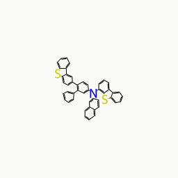 c1ccc(-c2cc(N(c3ccc4ccccc4c3)c3cccc4c3sc3ccccc34)ccc2-c2ccc3sc4ccccc4c3c2)cc1